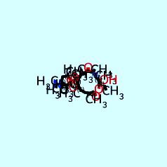 CC[C@H]1OC(=O)[C@H](C)C[C@H](C)[C@@H](O[C@@H]2O[C@H](C)C[C@H](N(C)C)[C@H]2C)[C@](C)(OC)C[C@@H](C)C(=O)/C(C)=C/[C@]1(C)O